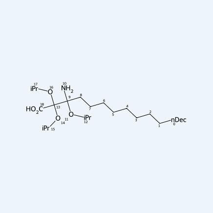 CCCCCCCCCCCCCCCCCCC(N)(OC(C)C)C(OC(C)C)(OC(C)C)C(=O)O